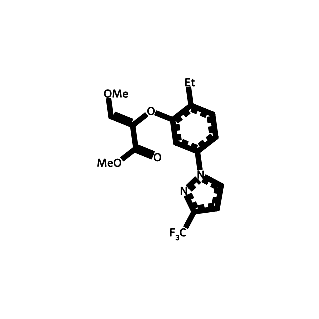 CCc1ccc(-n2ccc(C(F)(F)F)n2)cc1O/C(=C\OC)C(=O)OC